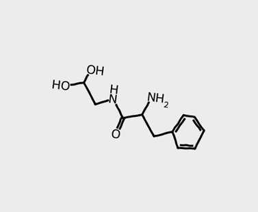 NC(Cc1ccccc1)C(=O)NCC(O)O